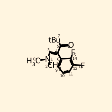 CN(C)/C=C(/C(=O)C(C)(C)C)c1cccc(F)c1F